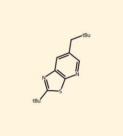 CC(C)(C)Cc1cnc2sc(C(C)(C)C)nc2c1